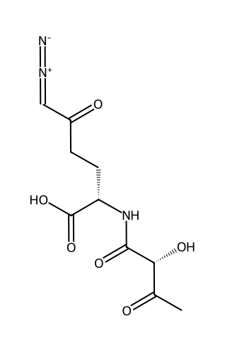 CC(=O)[C@@H](O)C(=O)N[C@@H](CCC(=O)C=[N+]=[N-])C(=O)O